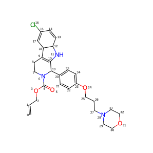 C=CCOC(=O)N1CCC2=C(NC3C=CC(Cl)=CC23)C1c1ccc(OCCCN2CCOCC2)cc1